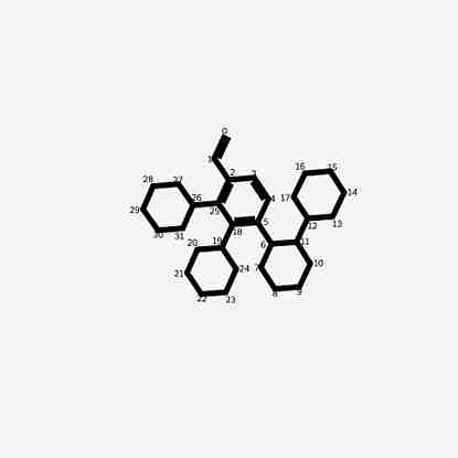 C=Cc1ccc(C2CCCCC2C2CCCCC2)c(C2CCCCC2)c1C1CCCCC1